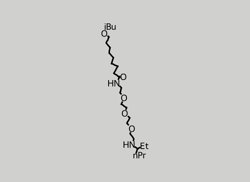 CCCC(CC)NCCOCCOCCOCCNC(=O)CCCCCCCCOC(C)CC